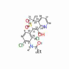 CCC(=O)N(C)c1c(Cl)ccc(C2=C(O)c3ncccc3C(C)(C)S2(=O)=O)c1Cl